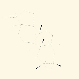 CC12CC[C@H]3[C@@H](CC[C@H]4C[C@@H]5O[C@@H]5C[C@@]43C)[C@@H]1CCC2=O